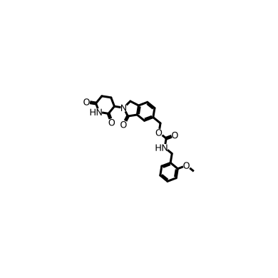 COc1ccccc1CNC(=O)OCc1ccc2c(c1)C(=O)N(C1CCC(=O)NC1=O)C2